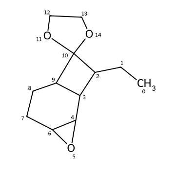 CCC1C2C3OC3CCC2C12OCCO2